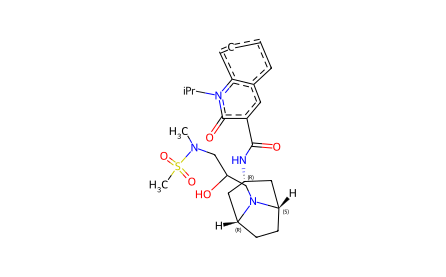 CC(C)n1c(=O)c(C(=O)N[C@H]2C[C@H]3CC[C@@H](C2)N3CC(O)CN(C)S(C)(=O)=O)cc2ccccc21